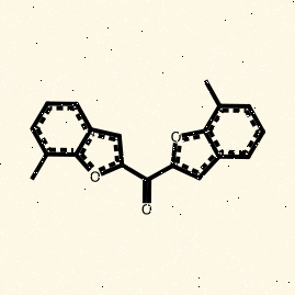 Cc1cccc2cc(C(=O)c3cc4cccc(C)c4o3)oc12